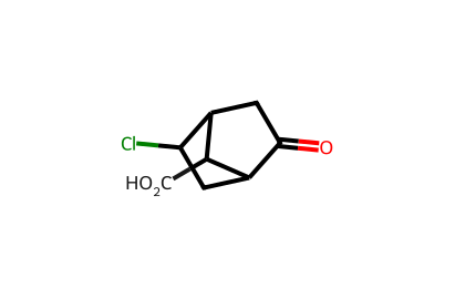 O=C1CC2C(Cl)CC1C2C(=O)O